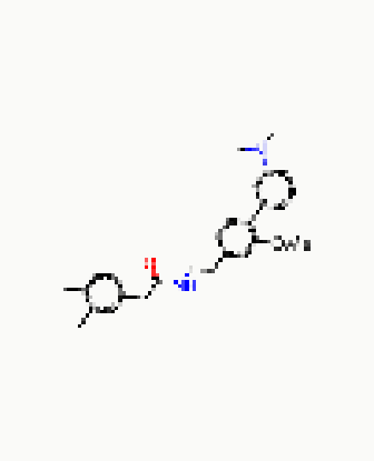 COc1cc(CCNC(=O)Cc2ccc(C)c(C)c2)ccc1-c1cccc(N(C)C)c1